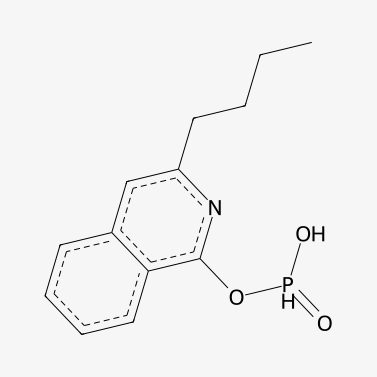 CCCCc1cc2ccccc2c(O[PH](=O)O)n1